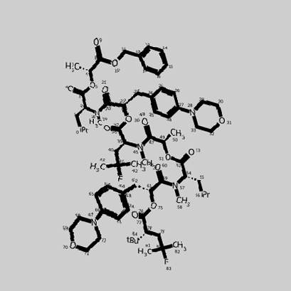 CC(C)C[C@@H](C(=O)O[C@H](C)C(=O)OCc1ccccc1)N(C)C(=O)[C@@H](Cc1ccc(N2CCOCC2)cc1)OC(=O)[C@H](CC(C)(C)F)N(C)C(=O)[C@@H](C)OC(=O)[C@H](CC(C)C)N(C)C(=O)[C@@H](Cc1ccc(N2CCOCC2)cc1)OC(=O)[C@H](CC(C)(C)F)C(C)(C)C